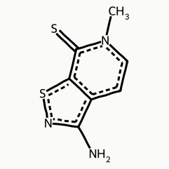 Cn1ccc2c(N)nsc2c1=S